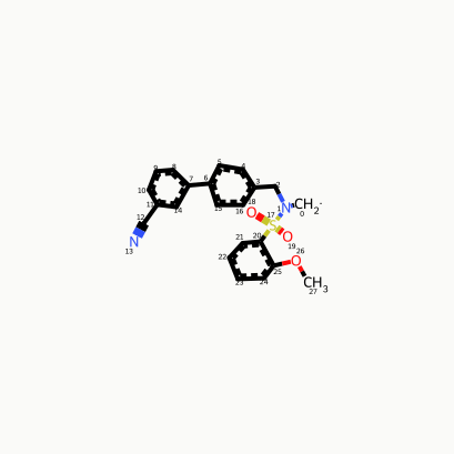 [CH2]N(Cc1ccc(-c2cccc(C#N)c2)cc1)S(=O)(=O)c1ccccc1OC